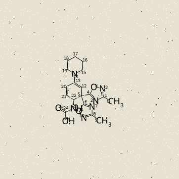 Cc1noc(C2(c3nc(C)no3)C=C(N3CCCCC3)C=CC2NC(=O)O)n1